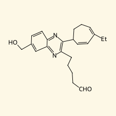 CCC1=CCCC(c2nc3ccc(CO)cc3nc2CCCCC=O)C=C1